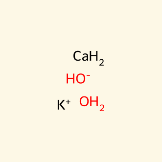 O.[CaH2].[K+].[OH-]